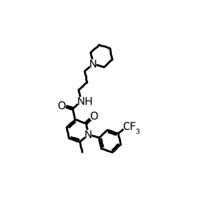 Cc1ccc(C(=O)NCCCN2CCCCC2)c(=O)n1-c1cccc(C(F)(F)F)c1